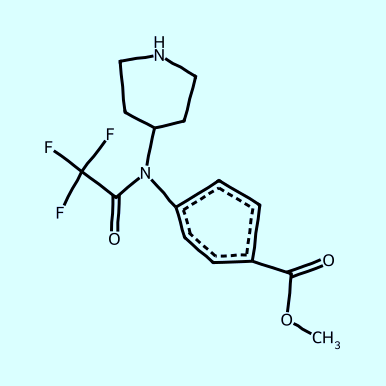 COC(=O)c1ccc(N(C(=O)C(F)(F)F)C2CCNCC2)cc1